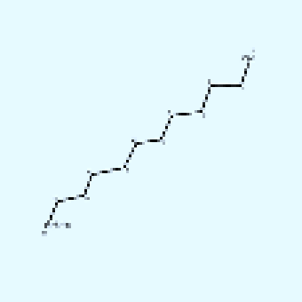 [2H]CCCCCCCCCCCCCCCC